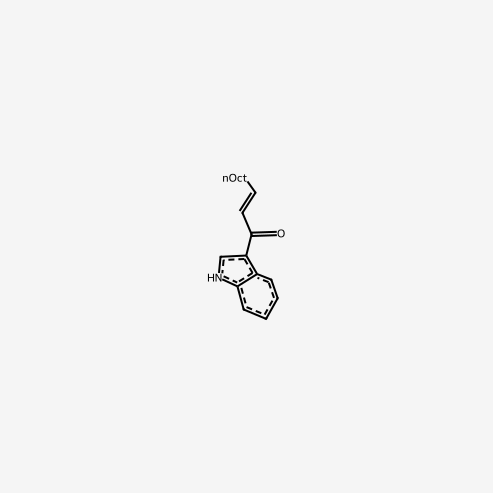 CCCCCCCCC=CC(=O)c1c[nH]c2ccccc12